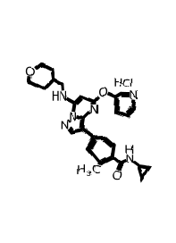 Cc1cc(-c2cnn3c(NCC4CCOCC4)cc(Oc4cccnc4)nc23)ccc1C(=O)NC1CC1.Cl